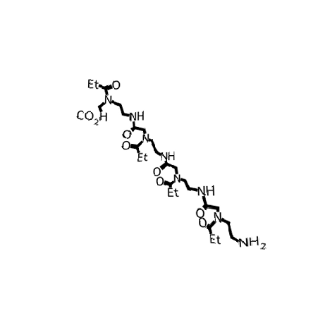 CCC(=O)N(CCNC(=O)CN(CCNC(=O)CN(CCNC(=O)CN(CCN)C(=O)CC)C(=O)CC)C(=O)CC)CC(=O)O